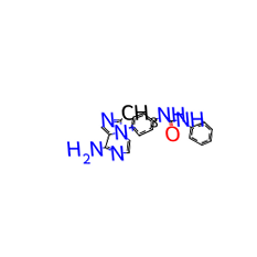 CC1=NC=C2C(N)=NC=C[N+]21c1ccc(NC(=O)Nc2ccccc2)cc1